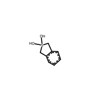 OS1(O)Cc2c[c]ccc2C1